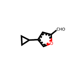 O=Cc1cc(C2CC2)co1